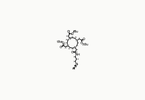 CC(C)(C)OC(=O)CN1CCN(CC(=O)NCCCN=[N+]=[N-])CCN(CC(=O)OC(C)(C)C)CCN(CC(=O)OC(C)(C)C)CC1